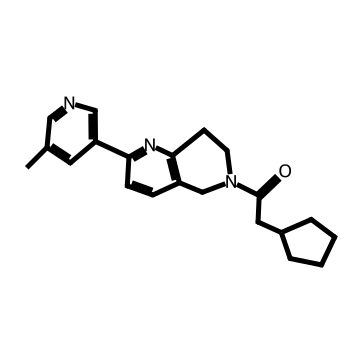 Cc1cncc(-c2ccc3c(n2)CCN(C(=O)CC2CCCC2)C3)c1